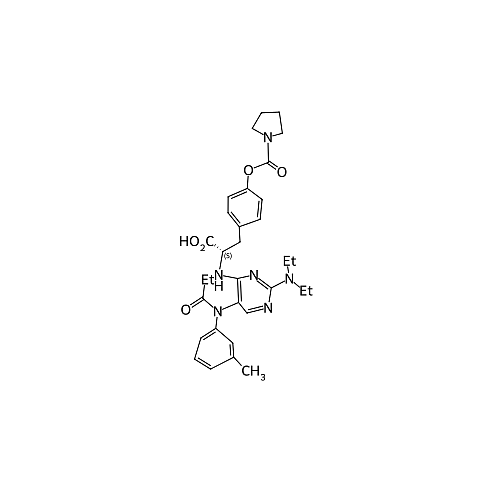 CCC(=O)N(c1cccc(C)c1)c1cnc(N(CC)CC)nc1N[C@@H](Cc1ccc(OC(=O)N2CCCC2)cc1)C(=O)O